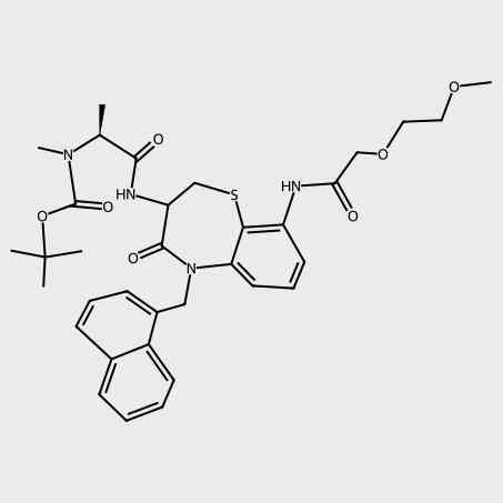 COCCOCC(=O)Nc1cccc2c1SCC(NC(=O)[C@H](C)N(C)C(=O)OC(C)(C)C)C(=O)N2Cc1cccc2ccccc12